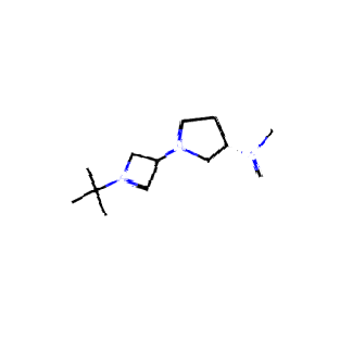 CN(C)[C@H]1CCN(C2CN(C(C)(C)C)C2)C1